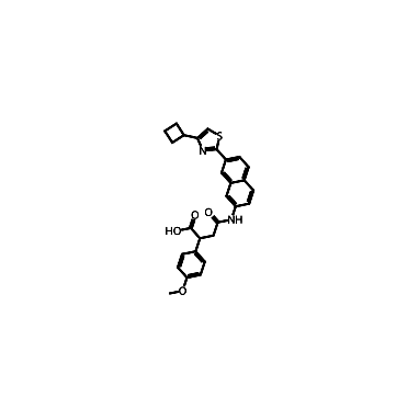 COc1ccc(C(CC(=O)Nc2ccc3ccc(-c4nc(C5CCC5)cs4)cc3c2)C(=O)O)cc1